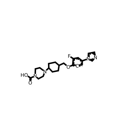 O=C(O)N1CCN(C2CCC(COc3ccc(-n4ccnc4)cc3F)CC2)CC1